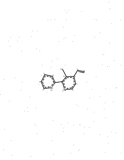 C=Cc1ccnc(-c2ccccn2)c1C